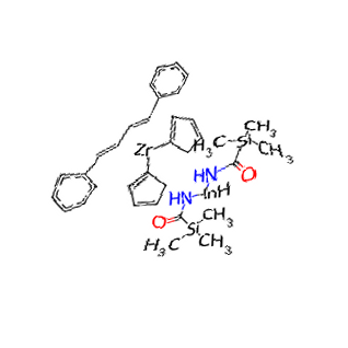 C(C=Cc1ccccc1)=Cc1ccccc1.C1=CC[C]([Zr][C]2=CC=CC2)=C1.C[Si](C)(C)C(=O)[NH][InH][NH]C(=O)[Si](C)(C)C